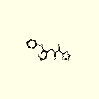 O=C(Cc1ccoc1Oc1ccccc1)C(=O)c1nc[nH]n1